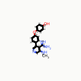 CNc1cncc(-c2ccc(Oc3ccc(O)cc3)cc2)c1C(=N)N